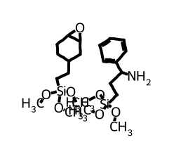 CO[Si](CCC(N)c1ccccc1)(OC)OC.CO[Si](CCC1CCC2OC2C1)(OC)OC